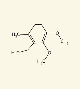 CCc1c(C)ccc(OC)c1OC